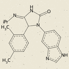 Cc1ccc(C2/C(=N\C(C)C)NC(=O)N2c2ccc3[nH]cnc3c2)c(C)c1